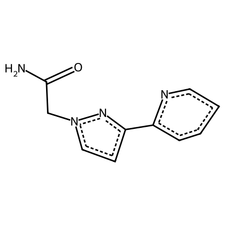 NC(=O)Cn1ccc(-c2ccccn2)n1